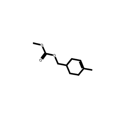 COC(=O)OCC1CC=C(C)CC1